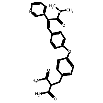 CN(C)C(=O)C(=Cc1ccc(Oc2ccc(CC(C(N)=O)C(N)=O)cc2)cc1)c1cccnc1